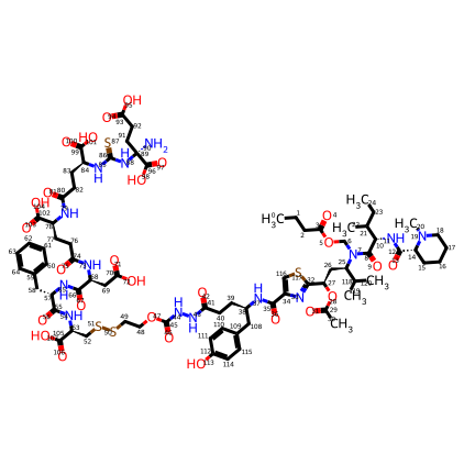 CCCC(=O)OCN(C(=O)[C@@H](NC(=O)[C@H]1CCCCN1C)C(C)CC)[C@H](C[C@@H](OC(C)=O)c1nc(C(=O)N[C@H](CCC(=O)NNC(=O)OCCSSC[C@H](NC(=O)[C@H](Cc2ccccc2)NC(=O)[C@H](CC(=O)O)NC(=O)CC[C@H](NC(=O)CC[C@H](NC(=S)N[C@@](N)(CCC(=O)O)C(=O)O)C(=O)O)C(=O)O)C(=O)O)Cc2ccc(O)cc2)cs1)C(C)C